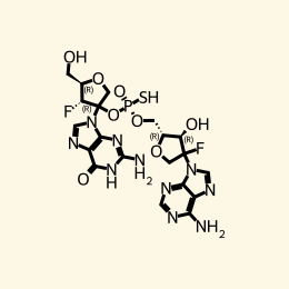 Nc1nc2c(ncn2C2(OP(=O)(S)OC[C@H]3OCC(F)(n4cnc5c(N)ncnc54)[C@@H]3O)CO[C@H](CO)[C@H]2F)c(=O)[nH]1